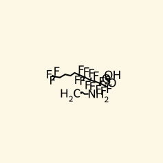 C=CCN.O=S(=O)(O)C(F)(F)C(F)(F)C(F)(F)C(F)(F)C(F)(F)C(F)(F)CCCCC(F)(F)F